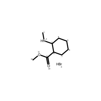 Br.CNC1CCCCC1C(=O)OC